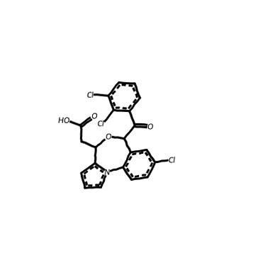 O=C(O)CC1OC(C(=O)c2cccc(Cl)c2Cl)c2cc(Cl)ccc2-n2cccc21